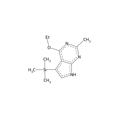 CCOc1nc(C)nc2[nH]cc([Si](C)(C)C)c12